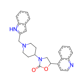 O=C1OC(c2ccnc3ccccc23)CN1C1CCN(Cc2cc3ccccc3[nH]2)CC1